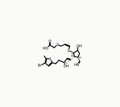 B=C[C@@H]1CC(O)[C@H](S/C=C\CSCC(=O)O)[C@H]1/C=C/[C@@H](O)CCc1cc(Br)c(C)s1